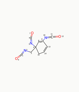 O=C=NCC1(N=C=O)C=C(N=C=O)C=CC1